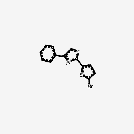 Brc1ccc(-c2nc(-c3ccccc3)cs2)s1